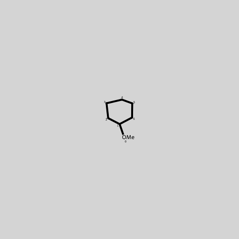 COC1[CH]CC[CH]C1